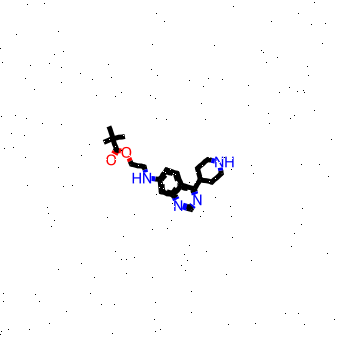 CC(C)(C)C(=O)OCCNc1ccc2c(C3CCNCC3)ncnc2c1